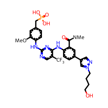 CNC(=O)c1cc(-c2cnn(CCCCO)c2)ccc1Nc1nc(Nc2ccc(CP(=O)(O)O)cc2OC)ncc1C(F)(F)F